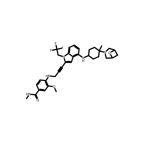 CNC(=O)c1ccc(NCC#Cc2cc3c(NC4CCC(C)(N5CC6CC(C5)O6)CC4)cccc3n2CC(F)(F)F)c(OC)c1